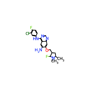 CC1CC(COc2cc3ncnc(Nc4ccc(F)c(Cl)c4)c3cc2N)C(F)N1C